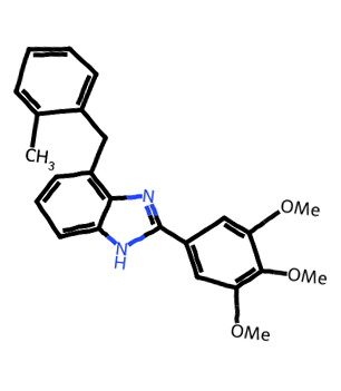 COc1cc(-c2nc3c(Cc4ccccc4C)cccc3[nH]2)cc(OC)c1OC